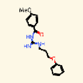 COc1ccc(C(=O)NC(=N)NCCCOc2ccccc2)cc1